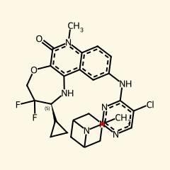 CN1CC2CC(C1)N2c1ncc(Cl)c(Nc2ccc3c(c2)c2c(c(=O)n3C)OCC(F)(F)[C@H](C3CC3)N2)n1